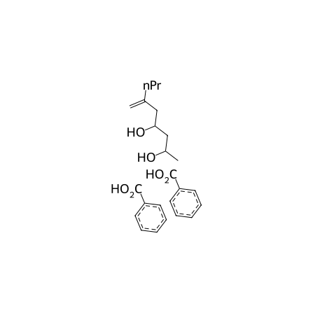 C=C(CCC)CC(O)CC(C)O.O=C(O)c1ccccc1.O=C(O)c1ccccc1